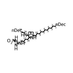 CCCCCCCCCCCCCCCCCCCCCC(=O)NC(CCCCNC(=N)N[N+](=O)[O-])C(=O)NCCCCCCCCCCCC